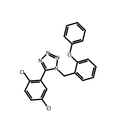 Clc1ccc(Cl)c(-c2nnnn2Cc2ccccc2Oc2ccccc2)c1